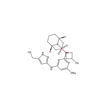 COc1cc(Nc2cc(CO)[nH]n2)nc(N[C@H]2C[C@H]3CCC[C@@H](C2)N3S(=O)(=O)N2CC(C#N)C2)n1